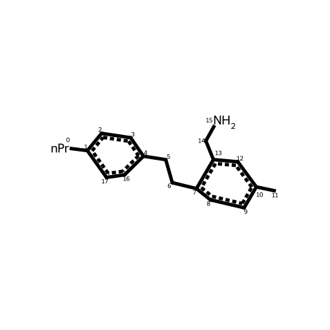 CCCc1ccc(CCc2ccc(C)cc2CN)cc1